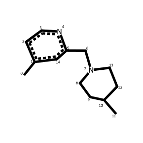 Cc1ccnc(CN2CCC(C)CC2)c1